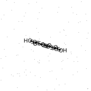 O=C(CCSCSCCCOOCSCSCOC(=O)CCSCSCCC(=O)OCCSCCO)OCCSCCO